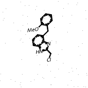 COc1ccccc1Cc1cccc2[nH]c(CCl)nc12